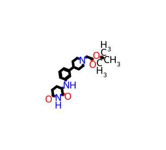 CC(C)(C)OC(=O)CN1CCC(c2cccc(NC3CCC(=O)NC3=O)c2)CC1